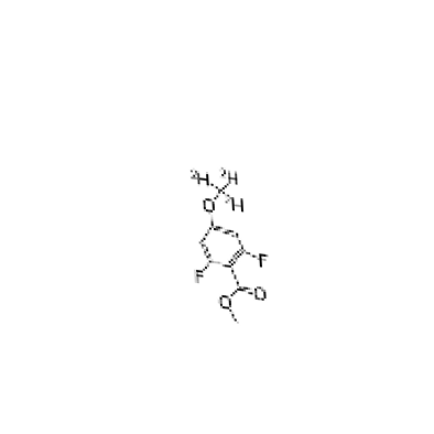 [2H]C([2H])([2H])Oc1cc(F)c(C(=O)OC)c(F)c1